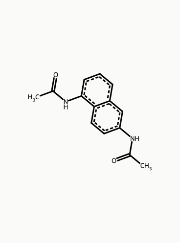 CC(=O)Nc1ccc2c(NC(C)=O)cccc2c1